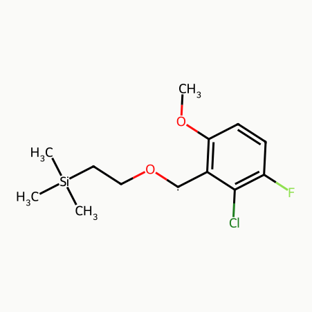 COc1ccc(F)c(Cl)c1[CH]OCC[Si](C)(C)C